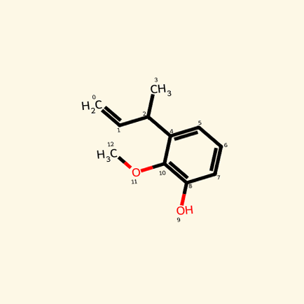 C=C[C](C)c1cccc(O)c1OC